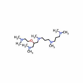 CN(C)CCCN(C)CCCN(C)CC(CN(C)C)OCCN(C)C